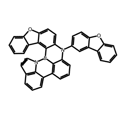 c1cc2c3c(c1)N(c1ccc4oc5ccccc5c4c1)c1ccc4oc5ccccc5c4c1B3n1c3ccccc3c3cccc-2c31